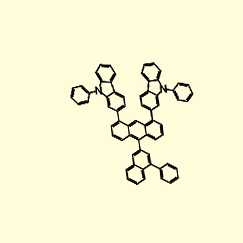 c1ccc(-c2cc(-c3c4cccc(-c5ccc6c7ccccc7n(-c7ccccc7)c6c5)c4cc4c(-c5ccc6c7ccccc7n(-c7ccccc7)c6c5)cccc34)cc3ccccc23)cc1